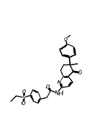 CCS(=O)(=O)c1ccc(CC(=O)Nc2ccc3c(n2)CCC(C)(c2ccc(OC)cc2)C3=O)cc1